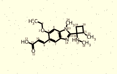 CCOc1cc2c(cc1/C=C/C(=O)O)nc(C1(NC)CC[C@H]1C)n2C